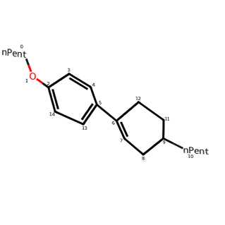 CCCCCOc1ccc(C2=CCC(CCCCC)CC2)cc1